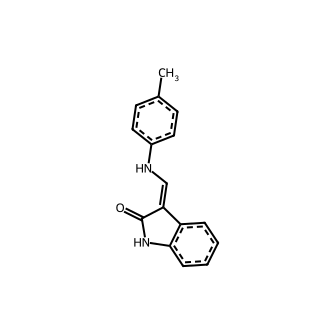 Cc1ccc(NC=C2C(=O)Nc3ccccc32)cc1